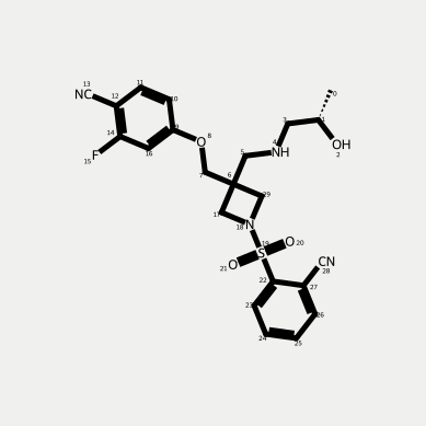 C[C@H](O)CNCC1(COc2ccc(C#N)c(F)c2)CN(S(=O)(=O)c2ccccc2C#N)C1